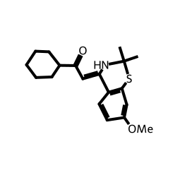 COc1ccc2c(c1)SC(C)(C)N/C2=C\C(=O)C1CCCCC1